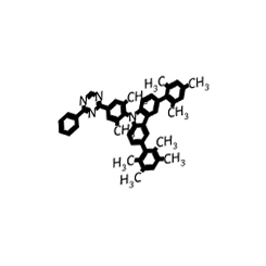 Cc1cc(C)c(-c2ccc3c(c2)c2cc(-c4c(C)c(C)cc(C)c4C)ccc2n3-c2c(C)cc(-c3ncnc(-c4ccccc4)n3)cc2C)c(C)c1